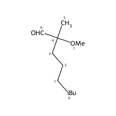 CCC(C)CCCC(C)(C=O)OC